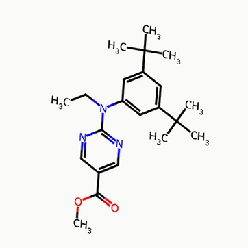 CCN(c1cc(C(C)(C)C)cc(C(C)(C)C)c1)c1ncc(C(=O)OC)cn1